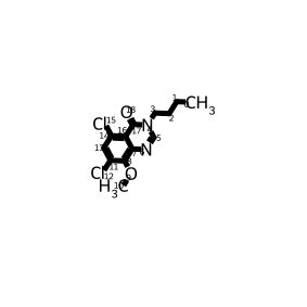 CCCCn1cnc2c(OC)c(Cl)cc(Cl)c2c1=O